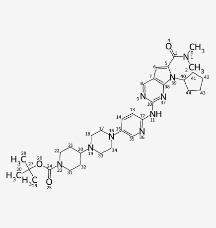 CN(C)C(=O)c1cc2cnc(Nc3ccc(N4CCN(C5CCN(C(=O)OC(C)(C)C)CC5)CC4)cn3)nc2n1C1CCCC1